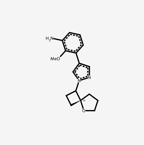 COc1c(N)cccc1-c1cnn(C2CC[C@]23CCCO3)c1